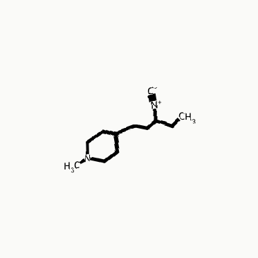 [C-]#[N+]C(CC)CCC1CCN(C)CC1